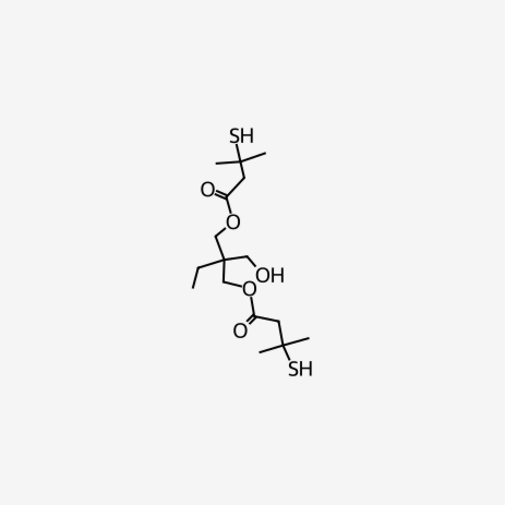 CCC(CO)(COC(=O)CC(C)(C)S)COC(=O)CC(C)(C)S